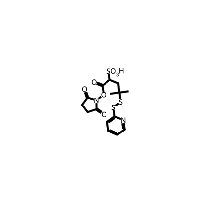 CC(C)(CC(C(=O)ON1C(=O)CCC1=O)S(=O)(=O)O)SSc1ccccn1